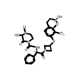 CCN1CCN(C(=O)N[C@@H](C(=O)N2CC(Oc3ccc4c(c3C(F)(F)F)OB(O)CC4)C2)c2ccccc2)C(=O)C1O